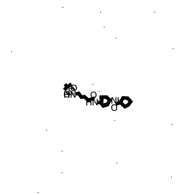 CC(C)(C)S(=O)(=O)NCCCCC(=O)NC1=CCC(NC(=O)C2CCCCC2)C=C1